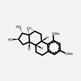 COc1cc2c(c(OC)c1)[C@H]1CC[C@]3(C)[C@@H](O)[C@H](O)C[C@H]3[C@H]1CC2